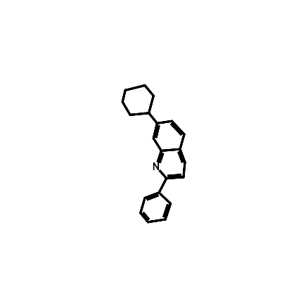 c1ccc(-c2ccc3ccc(C4CCCCC4)cc3n2)cc1